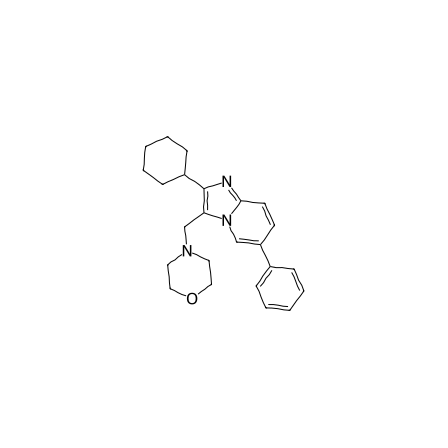 c1ccc(-c2ccc3nc(C4CCCCC4)c(CN4CCOCC4)n3c2)cc1